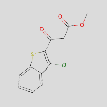 COC(=O)CC(=O)c1sc2ccccc2c1Cl